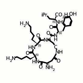 CC(C)C[C@H](NC(=O)[C@H](Cc1ccc(O)cc1)NC(=O)[C@@H]1CCNC(=O)C[C@H](N)C(=O)N[C@@H](CCCCN)C(=O)N[C@@H](CCCCN)C(=O)N1)C(=O)O